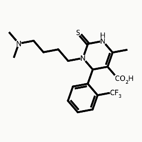 CC1=C(C(=O)O)C(c2ccccc2C(F)(F)F)N(CCCCN(C)C)C(=S)N1